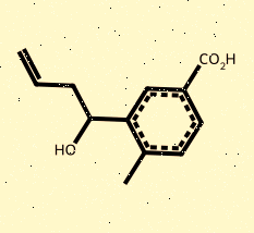 C=CCC(O)c1cc(C(=O)O)ccc1C